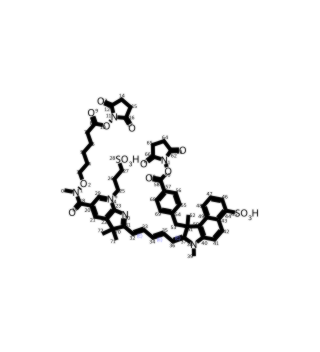 CN(OCCCCCC(=O)ON1C(=O)CCC1=O)C(=O)c1cc2c([n+](CCCS(=O)(=O)O)c1)N=C(/C=C/C=C/C=C1/N(C)c3ccc4c(S(=O)(=O)O)cccc4c3C1(C)Cc1ccc(C(=O)ON3C(=O)CCC3=O)cc1)C2(C)C